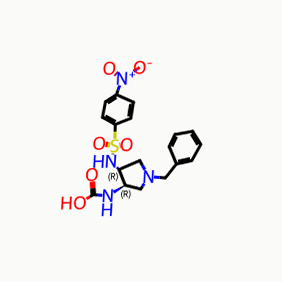 O=C(O)N[C@@H]1CN(Cc2ccccc2)C[C@H]1NS(=O)(=O)c1ccc([N+](=O)[O-])cc1